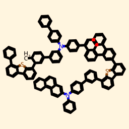 CC1C=CC(c2cccc(N(c3ccc(-c4ccccc4)cc3)c3ccc(-c4cccc5c(-c6cc(-c7cccc8c7sc7c(-c9cccc(-c%10ccc(N(c%11ccccc%11)c%11ccc%12c%13c(ccc%12c%11)C=CCC%13)cc%10)c9)cccc78)ccc6-c6ccccc6)cccc45)cc3)c2)=CC1c1cccc2c1sc1c(-c3ccccc3)cccc12